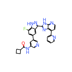 O=C(Nc1cncc(-c2cc(F)c3[nH]nc(-c4nc5c(-c6ccccn6)ccnc5[nH]4)c3c2)c1)C1CCC1